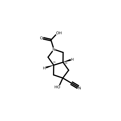 N#CC1(O)C[C@H]2CN(C(=O)O)C[C@H]2C1